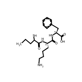 CCCC(S)C(=O)N[C@@H](CCCCN)C(=O)N[C@@H](Cc1ccccc1)C(=O)O